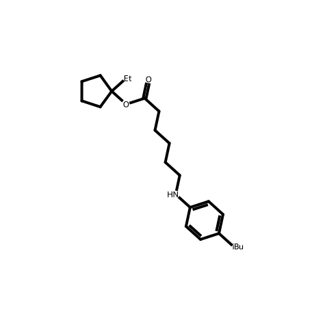 CCC(C)c1ccc(NCCCCCC(=O)OC2(CC)CCCC2)cc1